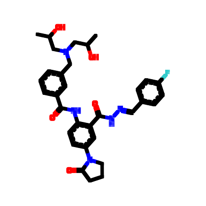 CC(O)CN(Cc1cccc(C(=O)Nc2ccc(N3CCCC3=O)cc2C(=O)N/N=C/c2ccc(F)cc2)c1)CC(C)O